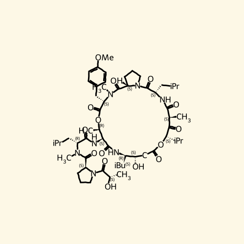 CC[C@H](C)[C@H]1NC(=O)[C@@H](NC(=O)[C@@H](CC(C)C)N(C)C(=O)[C@@H]2CCCN2C(=O)[C@H](C)O)[C@@H](C)OC(=O)[C@H](Cc2ccc(OC)cc2)N(C)C(=O)[C@@H]2CCCN2C(=O)[C@H](CC(C)C)NC(=O)[C@@H](C)C(=O)[C@H](C(C)C)OC(=O)C[C@@H]1O